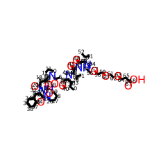 CC[C@H](C)[C@@H]([C@@H](CC(=O)N1CCC[C@H]1[C@H](OC)[C@@H](C)C(=O)N[C@H](C(=O)N1CCCCO1)[C@@H](C)c1ccccc1)OC)N(C)[C@H](C(=O)NC(=O)[C@H](C(C)C)N(C)CCOCCOCCOCCC(=O)O)C(C)C